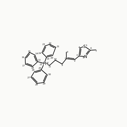 C/C(=C\c1csc(C)n1)CCC[PH](c1ccccc1)(c1ccccc1)c1ccccc1